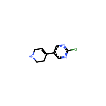 Clc1ncc(C2=CCNCC2)cn1